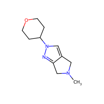 CN1Cc2cn(C3CCOCC3)nc2C1